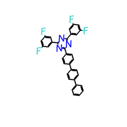 Fc1cc(F)cc(-c2nc(-c3ccc(-c4ccc(-c5ccccc5)cc4)cc3)nc(-c3cc(F)cc(F)c3)n2)c1